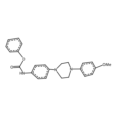 COc1ccc(N2CCN(c3ccc(NC(=O)Oc4ccccc4)cc3)CC2)cc1